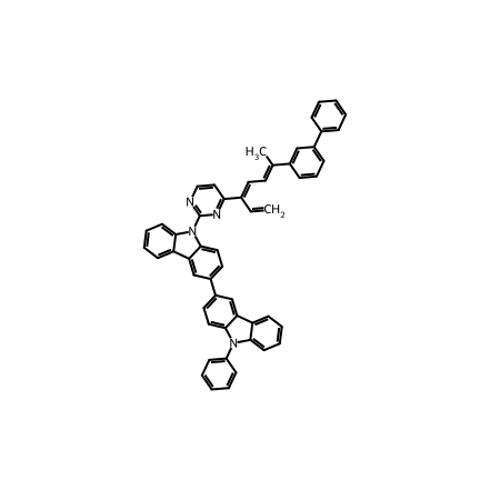 C=C/C(=C\C=C(/C)c1cccc(-c2ccccc2)c1)c1ccnc(-n2c3ccccc3c3cc(-c4ccc5c(c4)c4ccccc4n5-c4ccccc4)ccc32)n1